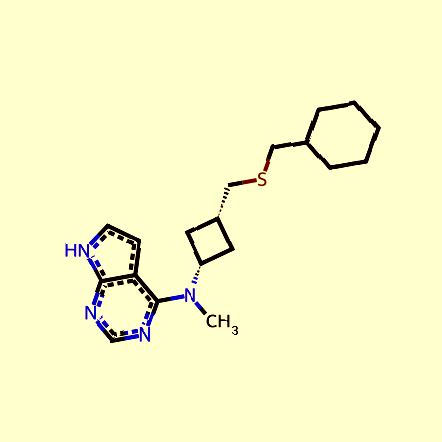 CN(c1ncnc2[nH]ccc12)[C@H]1C[C@@H](CSCC2CCCCC2)C1